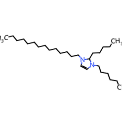 CCCCCCCCCCCCCCN1C=CN(CCCCCC)C1CCCCC